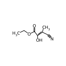 CCOC(=O)/C(O)=C(\C)C#N